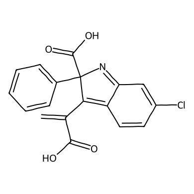 C=C(C(=O)O)C1=c2ccc(Cl)cc2=NC1(C(=O)O)c1ccccc1